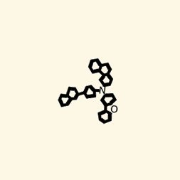 c1ccc2cc(-c3ccc(N(c4ccc5ccc6ccccc6c5c4)c4ccc5oc6ccccc6c5c4)cc3)ccc2c1